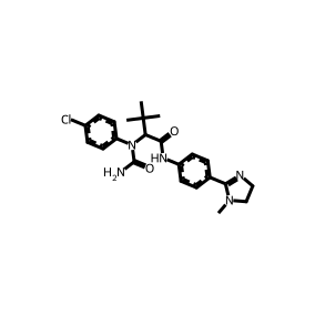 CN1CCN=C1c1ccc(NC(=O)C(N(C(N)=O)c2ccc(Cl)cc2)C(C)(C)C)cc1